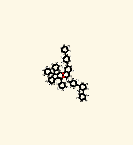 c1ccc(-c2ccc(-c3ccc4cc(N(c5ccc(-c6cccc7c6oc6ccccc67)cc5)c5ccccc5-c5cccc6c5-c5ccccc5C6(c5ccccc5)c5ccccc5)ccc4c3)cc2)cc1